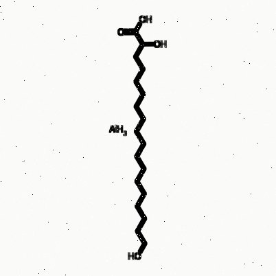 O=C(O)C(O)CCCCCCCCCCCCCCCCO.[AlH3]